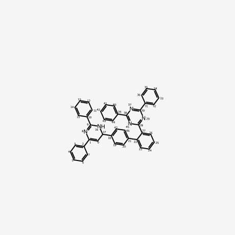 C1=C(c2ccccc2)N=C(c2ccccc2)NC1c1ccc(-c2ccccc2-c2nc(-c3ccccc3)nc(-c3ccccc3)n2)cc1